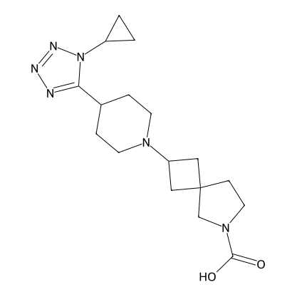 O=C(O)N1CCC2(CC(N3CCC(c4nnnn4C4CC4)CC3)C2)C1